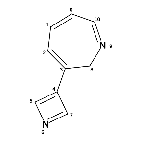 C1=CC=C(C2=CN=C2)CN=C1